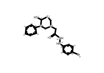 O=C(CN1CSC(S)N(c2ccccc2)C1)NNc1ccc(Br)cc1